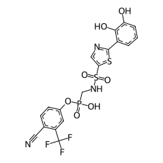 N#Cc1ccc(OP(=O)(O)CNS(=O)(=O)c2cnc(-c3cccc(O)c3O)s2)cc1C(F)(F)F